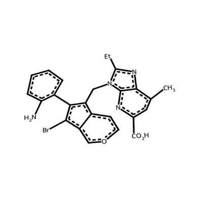 CCc1nc2c(C)cc(C(=O)O)nc2n1Cc1c2ccocc-2c(Br)c1-c1ccccc1N